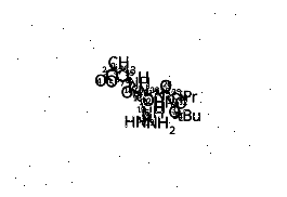 Cc1cc(=O)oc2cc(NC(=O)[C@H](CCCNC(=N)N)NC(=O)CNC(=O)C(CC(C)C)NC(=O)OC(C)(C)C)ccc12